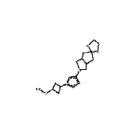 FC(F)(F)O[C@H]1C[C@@H](n2cc(N3CC4CC5(CC4C3)OCCO5)cn2)C1